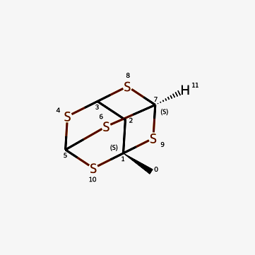 C[C@@]12CC3SC(S[C@@H](S3)S1)S2